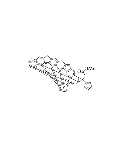 COC(=O)CC1(c2cccs2)C2c3cc4cc5c6c4c4c3c3c7c8c9c%10c(cc%11c%12c%13c(cc(c%14c%13c%13c(c%12%10)c9c3c4c%13c6%14)C5)C%11)CC8=CC721